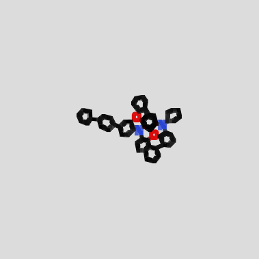 c1ccc(-c2ccc(-c3ccc(N(c4ccc5cccc6c5c4Oc4c-6cccc4N(c4ccccc4)c4ccccc4)c4cccc5c4oc4ccccc45)cc3)cc2)cc1